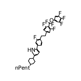 CCCCCC1CCC(C2=CC=C(c3ccc(CCc4cc(F)c(C(F)(F)Oc5cc(F)c(F)c(F)c5)c(F)c4)c(F)c3)NC2)CC1